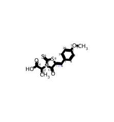 COc1ccc(/C=C2\SC(=S)N(C(C)C(=O)O)C2=O)cc1